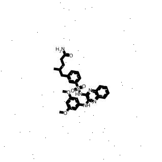 COc1cc(Nc2nc3ccccc3nc2NS(=O)(=O)c2cccc(CC(C)CCC(N)=O)c2)cc(OC)c1